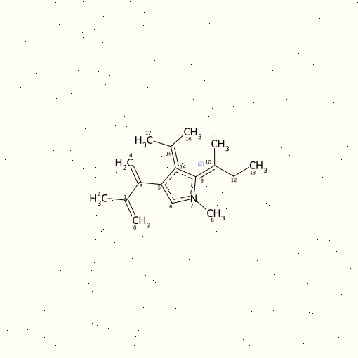 C=C(C)C(=C)c1cn(C)/c(=C(/C)CC)c1=C(C)C